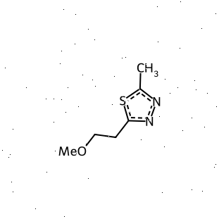 COCCc1nnc(C)s1